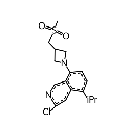 CC(C)c1ccc(N2CC(CS(C)(=O)=O)C2)c2cnc(Cl)cc12